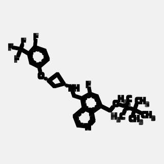 CC(C)(C)[Si](C)(C)OCc1cc(F)c(CN[C@H]2C[C@@H](Oc3ccc(F)c(C(F)(F)F)c3)C2)c2ccncc12